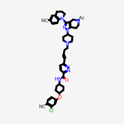 CC(=O)N1CCc2c(c(N3CCCc4cc(C#N)ccc43)nn2C2CCN(CCC#Cc3ccc(C(=O)NC4CCC(Oc5ccc(C#N)c(Cl)c5)CC4)nn3)CC2)C1